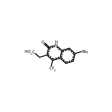 CC(C)(C)c1ccc2c(C(F)(F)F)c(CC(=O)O)c(=O)[nH]c2c1